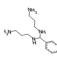 Cc1ccc(C(NCCCN)NCCCN)cc1